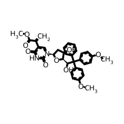 C=C(C(=O)OC)c1cn([C@H]2C[C@H](O)[C@@H](C(O)C(c3ccccc3)(c3ccc(OC)cc3)c3ccc(OC)cc3)O2)c(=O)[nH]c1=O